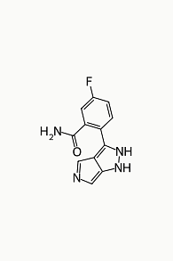 NC(=O)c1cc(F)ccc1-c1[nH][nH]c2cncc1-2